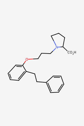 O=C(O)C1CCCN1CCCOc1ccccc1CCc1ccccc1